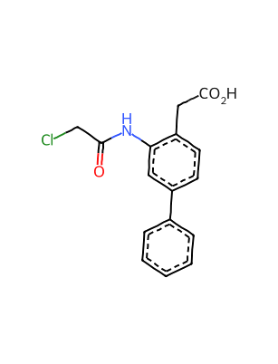 O=C(O)Cc1ccc(-c2ccccc2)cc1NC(=O)CCl